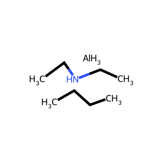 CCCC.CCNCC.[AlH3]